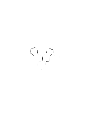 COc1cc2c(N)cccc2c(-c2ccccc2)c1OC